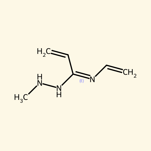 C=C/N=C(\C=C)NNC